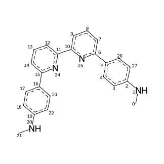 CNc1ccc(-c2cccc(-c3cccc(-c4ccc(NC)cc4)n3)n2)cc1